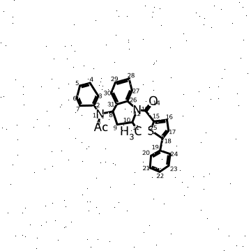 CC(=O)N(c1ccccc1)C1CC(C)N(C(=O)c2ccc(-c3ccccc3)s2)c2ccccc21